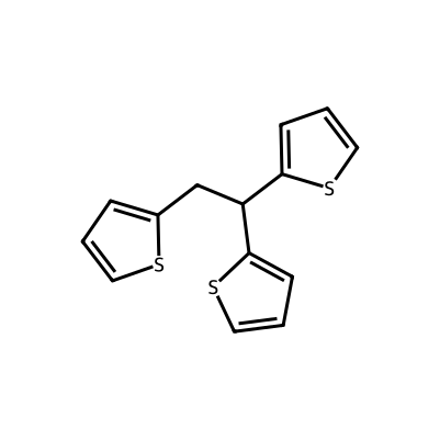 c1csc(CC(c2cccs2)c2cccs2)c1